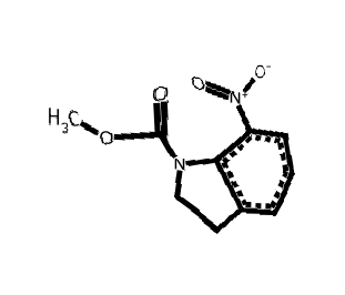 COC(=O)N1CCc2cccc([N+](=O)[O-])c21